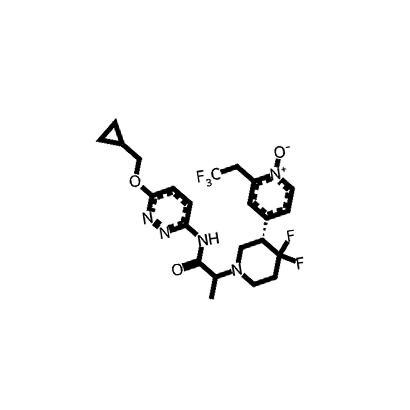 CC(C(=O)Nc1ccc(OCC2CC2)nn1)N1CCC(F)(F)[C@@H](c2cc[n+]([O-])c(CC(F)(F)F)c2)C1